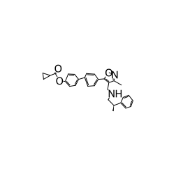 Cc1noc(-c2ccc(-c3ccc(OC(=O)C4CC4)cc3)cc2)c1CNC[C@H](C)c1ccccc1